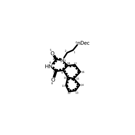 CCCCCCCCCCCCn1c(=O)[nH]c(=O)c2c3ccccc3ccc21